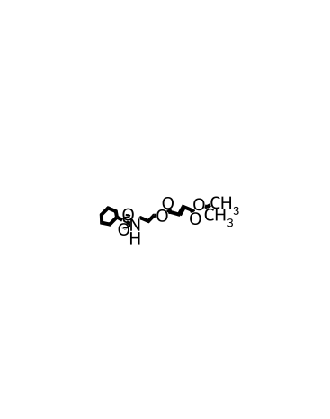 CC(C)OC(=O)/C=C/C(=O)OCCCNS(=O)(=O)C1CCCCC1